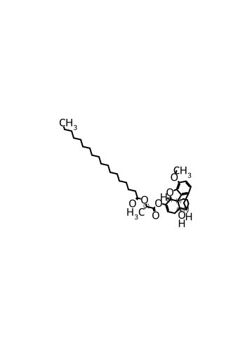 CCCCCCCCCCCCCCCCCC(=O)O[C@@H](C)C(=O)OC1=CC[C@@]2(O)[C@@H]3CCC[C@@]24c2c(ccc(OC)c2O[C@@H]14)C3